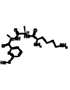 C[C@H](NC(=O)C(N)CCCCN)C(=O)N[C@@H](C)C(=O)c1cccc(SS)n1